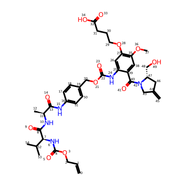 C=CCOC(=O)N[C@H](C(=O)N[C@@H](C)C(=O)Nc1ccc(COC(=O)Nc2cc(OCCCC(=O)O)c(OC)cc2C(=O)N2CC(=C)C[C@H]2CO)cc1)C(C)C